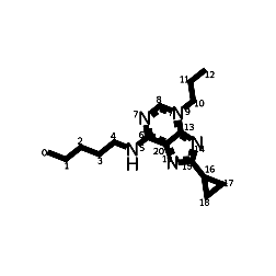 CCCCCNc1ncn(CCC)c2nc(C3CC3)nc1-2